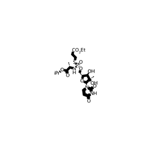 CCOC(=O)CCSP(=O)(N[C@@H](C)C(=O)OC(C)C)OC[C@H]1O[C@@H](n2ccc(=O)[nH]c2=O)[C@](C)(O)[C@@H]1O